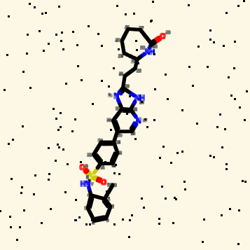 Cc1ccccc1NS(=O)(=O)c1ccc(-c2cnc3[nH]c(CCC4CCCCC(=O)N4)nc3c2)cc1